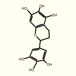 Oc1cc(C2CCc3c(cc(O)c(O)c3O)O2)cc(O)c1O